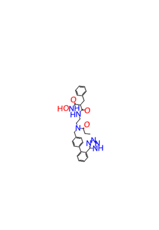 CCC(=O)N(CCNC(=O)C(Cc1ccccc1)C(=O)NO)Cc1ccc(-c2ccccc2-c2nnn[nH]2)cc1